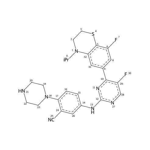 CC(C)N1CCSc2c(F)cc(-c3nc(Nc4ccc(N5CCNCC5)c(C#N)c4)ncc3F)cc21